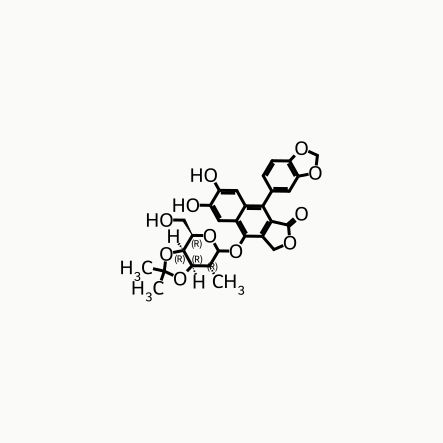 C[C@H]1C(Oc2c3c(c(-c4ccc5c(c4)OCO5)c4cc(O)c(O)cc24)C(=O)OC3)O[C@H](CO)[C@@H]2OC(C)(C)O[C@@H]21